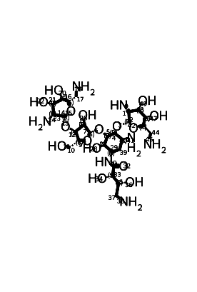 N=C1[C@@H](O[C@H]2[C@H](O[C@@H]3O[C@H](CO)[C@@H](O[C@H]4O[C@@H](CN)[C@@H](O)[C@H](O)[C@H]4N)[C@H]3O)[C@@H](O)[C@H](NC(=O)[C@@H](O)[C@H](O)CN)C[C@@H]2N)O[C@H](CN)[C@@H](O)[C@H]1O